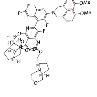 COc1ccc(CN(Cc2ccc(OC)cc2)c2cc(C)c(C=C(F)F)c(-c3nc4c5c(nc(OC[C@@H]6CC[C@H]7COCCN76)nc5c3F)N3C[C@H]5CC[C@@H]([C@H]3[C@H](C)O4)N5C(=O)OC(C)(C)C)c2F)cc1